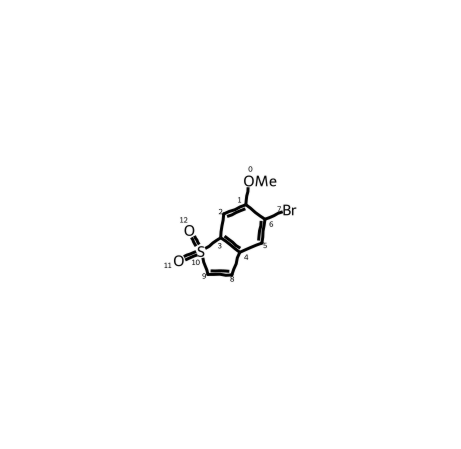 COc1cc2c(cc1Br)C=CS2(=O)=O